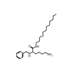 CCCCCCCCOCCCNC(=O)C(CCCCN)NCc1ccccc1